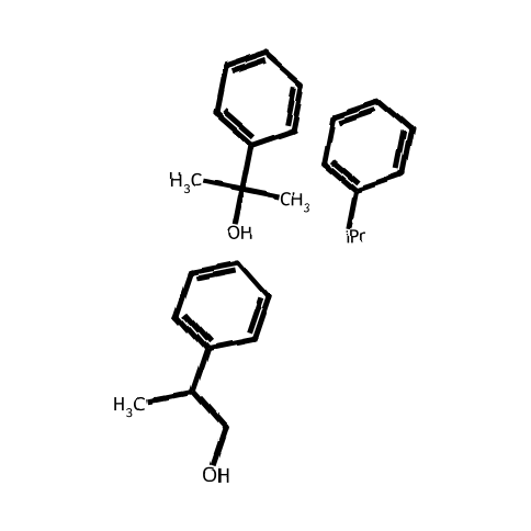 CC(C)(O)c1ccccc1.CC(C)c1ccccc1.CC(CO)c1ccccc1